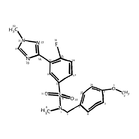 COc1ccc(CN(C)S(=O)(=O)c2ccc(F)c(-c3ncn(C)n3)c2)cc1